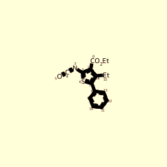 CCOC(=O)c1c(N=C=O)sc(-c2ccccc2)c1CC